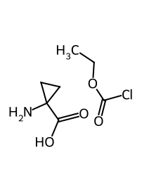 CCOC(=O)Cl.NC1(C(=O)O)CC1